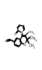 CC1=C(n2ccccc2=O)c2cc(C#N)ccc2OC1(C)C